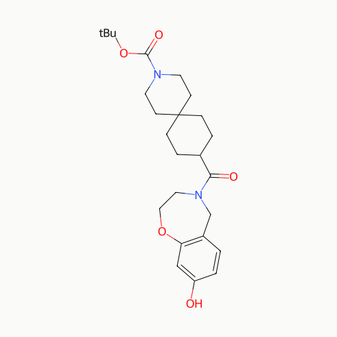 CC(C)(C)OC(=O)N1CCC2(CCC(C(=O)N3CCOc4cc(O)ccc4C3)CC2)CC1